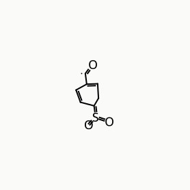 O=[C]C1=CCC(=S(=O)=O)C=C1